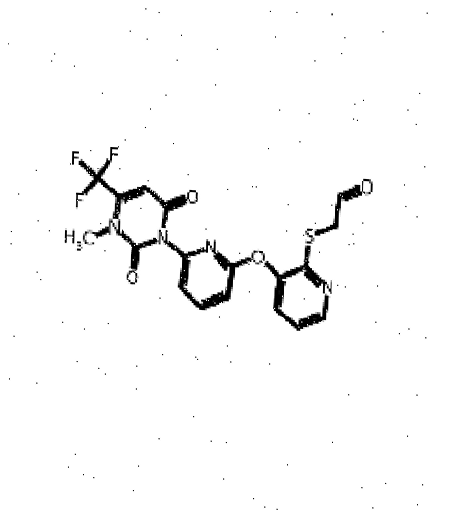 Cn1c(C(F)(F)F)cc(=O)n(-c2cccc(Oc3cccnc3SCC=O)n2)c1=O